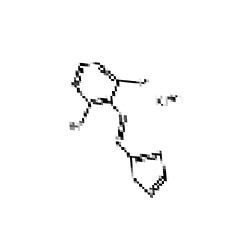 CC(C)c1cccc(C(C)C)c1[N]=[V][C]1=CC=CC1.Cl.Cl